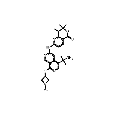 CC(=O)N1CC(Oc2ncc(C(C)(C)N)c3cc(Nc4ccc5c(n4)C(C)C(C)(C)OC5=O)ncc23)C1